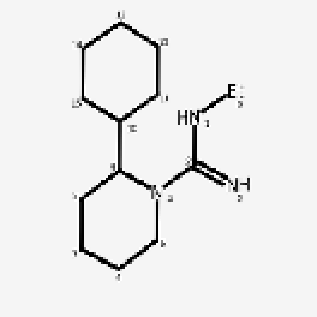 CCNC(=N)N1CCCCC1C1CCCCC1